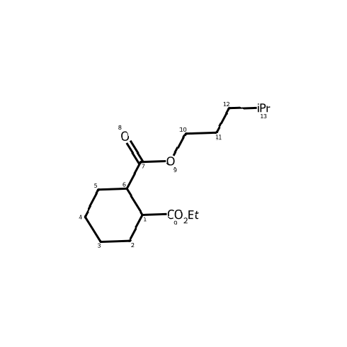 CCOC(=O)C1CCCCC1C(=O)OCCCC(C)C